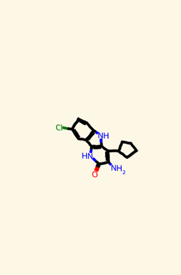 Nc1c(C2CCCC2)c2[nH]c3ccc(Cl)cc3c2[nH]c1=O